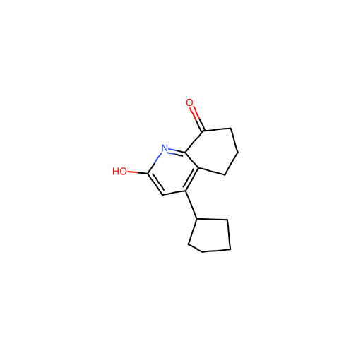 O=C1CCCc2c(C3CCCC3)cc(O)nc21